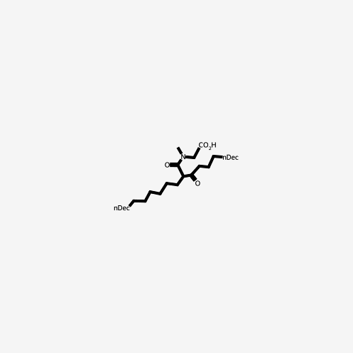 CCCCCCCCCCCCCCCCC(C(=O)CCCCCCCCCCCCC)C(=O)N(C)CC(=O)O